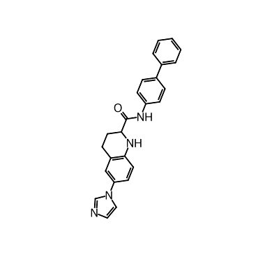 O=C(Nc1ccc(-c2ccccc2)cc1)C1CCc2cc(-n3ccnc3)ccc2N1